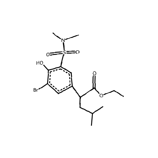 CCOC(=O)C(CC(C)C)c1cc(Br)c(O)c(S(=O)(=O)N(C)C)c1